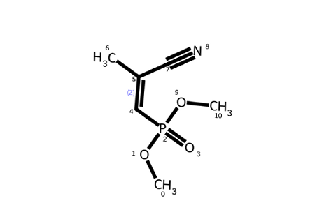 COP(=O)(/C=C(/C)C#N)OC